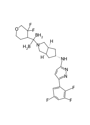 BC(B)(C1CCOCC1(F)F)N1C[C@H]2C[C@H](Nc3ccc(-c4cc(F)cc(F)c4F)nn3)C[C@H]2C1